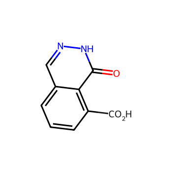 O=C(O)c1cccc2cn[nH]c(=O)c12